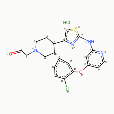 Cl.O=CCN1CCC(c2csc(Nc3cc(Oc4ccccc4Cl)ccn3)n2)CC1